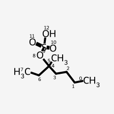 CCCCC(C)(CC)OS(=O)(=O)O